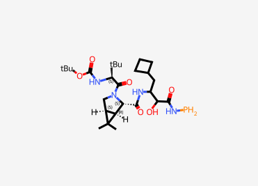 CC(C)(C)OC(=O)N[C@H](C(=O)N1C[C@H]2[C@@H]([C@H]1C(=O)NC(CC1CCC1)C(O)C(=O)NP)C2(C)C)C(C)(C)C